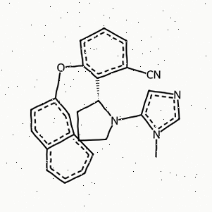 Cn1cncc1N1CCC[C@@H]1c1c(C#N)cccc1Oc1ccc2ccccc2c1